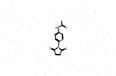 CC(=O)Nc1ccc(N2C(=O)C=CC2=O)cc1